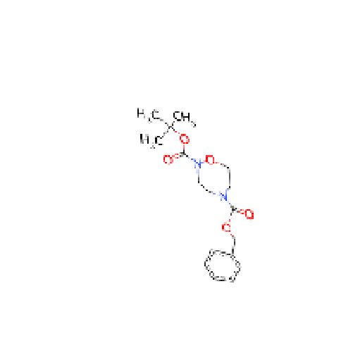 CC(C)(C)OC(=O)N1CCN(C(=O)OCc2ccccc2)CCO1